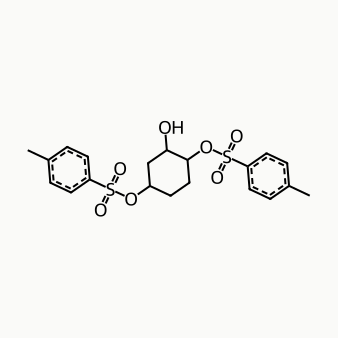 Cc1ccc(S(=O)(=O)OC2CCC(OS(=O)(=O)c3ccc(C)cc3)C(O)C2)cc1